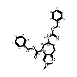 CN(C)C=C1C(=O)CC[C@H](NC(=O)OCc2ccccc2)CN1C(=O)OCc1ccccc1